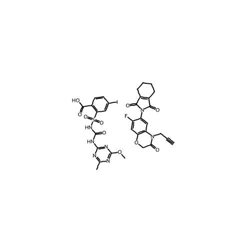 C#CCN1C(=O)COc2cc(F)c(N3C(=O)C4=C(CCCC4)C3=O)cc21.COc1nc(C)nc(NC(=O)NS(=O)(=O)c2cc(I)ccc2C(=O)O)n1